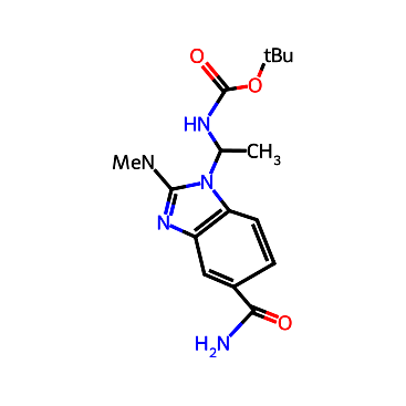 CNc1nc2cc(C(N)=O)ccc2n1C(C)NC(=O)OC(C)(C)C